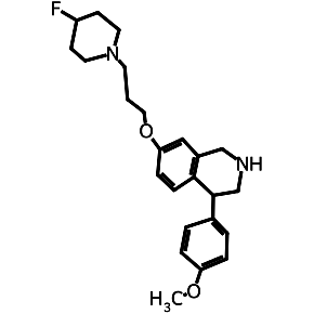 COc1ccc(C2CNCc3cc(OCCCN4CCC(F)CC4)ccc32)cc1